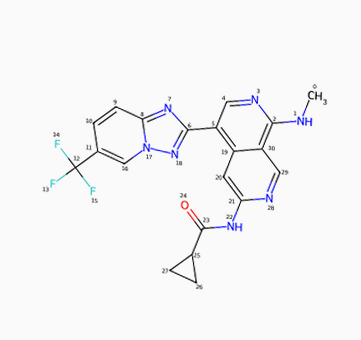 CNc1ncc(-c2nc3ccc(C(F)(F)F)cn3n2)c2cc(NC(=O)C3CC3)ncc12